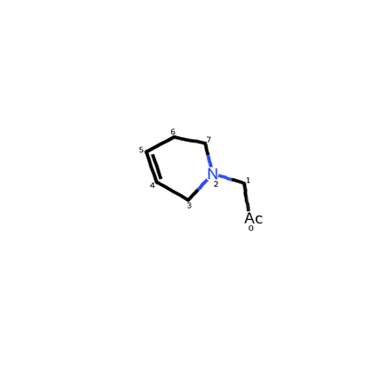 CC(=O)CN1CC=CCC1